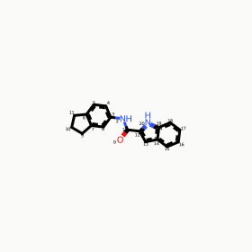 O=C(Nc1ccc2c(c1)CCC2)c1cc2ccccc2[nH]1